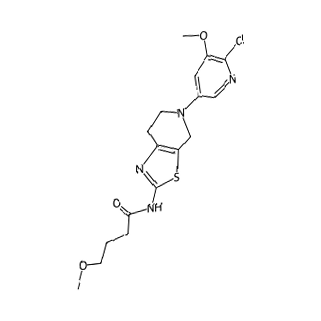 COCCCC(=O)Nc1nc2c(s1)CN(c1cnc(Cl)c(OC)c1)CC2